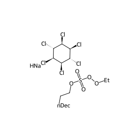 CCCCCCCCCCCCOS(=O)(=O)OOCC.Cl[C@H]1[C@H](Cl)[C@@H](Cl)[C@@H](Cl)[C@H](Cl)[C@H]1Cl.[NaH]